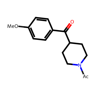 COc1ccc(C(=O)C2CCN(C(C)=O)CC2)cc1